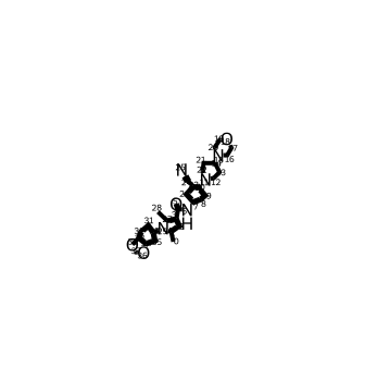 Cc1cc(C(=O)Nc2ccc(N3CCC(N4CCOCC4)CC3)c(C#N)c2)c(C)n1-c1ccc2c(c1)OCO2